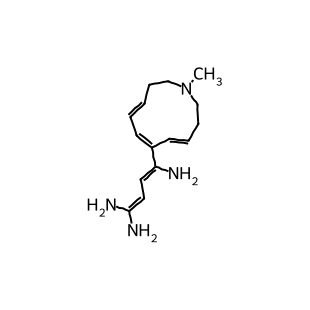 CN1CC/C=C/C=C(/C(N)=C/C=C(N)N)\C=C\CC1